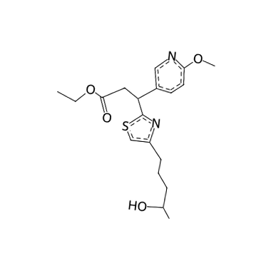 CCOC(=O)CC(c1ccc(OC)nc1)c1nc(CCCC(C)O)cs1